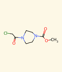 COC(=O)N1CCN(C(=O)CCl)CC1